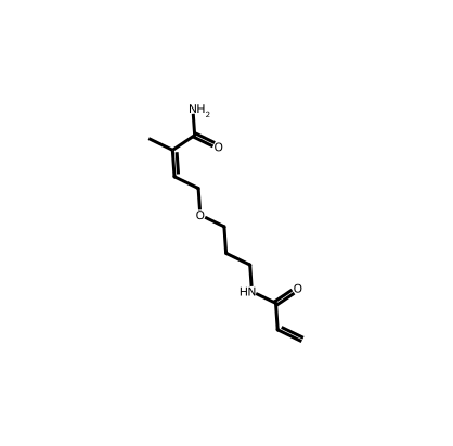 C=CC(=O)NCCCOCC=C(C)C(N)=O